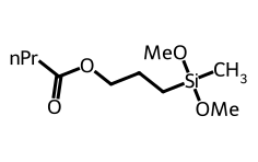 CCCC(=O)OCCC[Si](C)(OC)OC